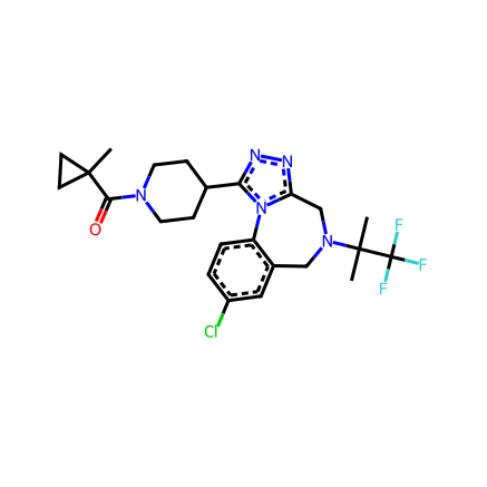 CC1(C(=O)N2CCC(c3nnc4n3-c3ccc(Cl)cc3CN(C(C)(C)C(F)(F)F)C4)CC2)CC1